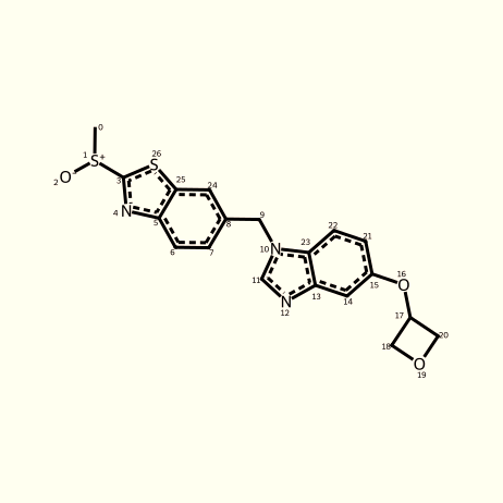 C[S+]([O-])c1nc2ccc(Cn3cnc4cc(OC5COC5)ccc43)cc2s1